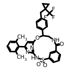 Cc1cccc(C)c1-c1cc2nc(n1)NS(=O)(=O)c1cccc(c1)C(=O)NCC(c1ccc(CC3(C(F)(F)F)CC3)cc1)O2